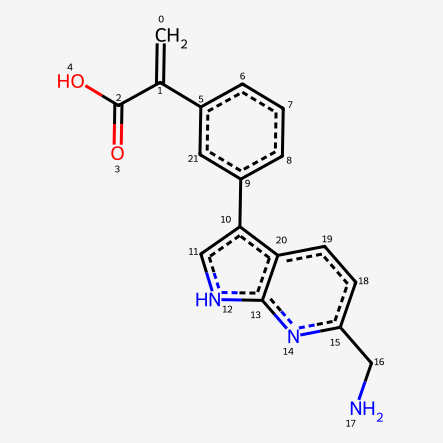 C=C(C(=O)O)c1cccc(-c2c[nH]c3nc(CN)ccc23)c1